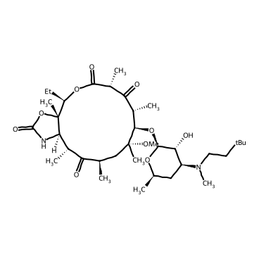 CC[C@H]1OC(=O)[C@H](C)C(=O)[C@H](C)[C@@H](O[C@@H]2O[C@H](C)C[C@H](N(C)CCC(C)(C)C)[C@H]2O)[C@](C)(OC)C[C@@H](C)C(=O)[C@H](C)[C@H]2NC(=O)O[C@@]21C